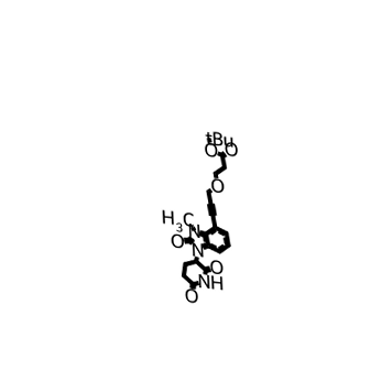 Cn1c(=O)n(C2CCC(=O)NC2=O)c2cccc(C#CCOCCC(=O)OC(C)(C)C)c21